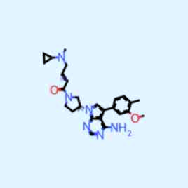 COc1cc(-c2cn([C@@H]3CCN(C(=O)/C=C/CN(C)C4CC4)C3)c3ncnc(N)c23)ccc1C